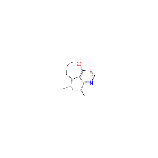 CC(C)c1nccc2c1C(C(C)C)CCCO2